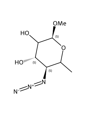 CO[C@H]1OC(C)[C@@H](N=[N+]=[N-])[C@H](O)C1O